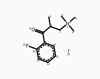 CC(C[N+](C)(C)C)C(=O)c1ccccc1F.[I-]